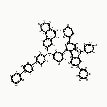 c1ccc(-c2ccc(-c3ccc(N(c4cccc(-c5cc(-c6ccccc6)cc6c5c5ccc(-c7ccccc7)cc5n6-c5ccccc5)c4)c4ccc5c(ccc6ccccc65)c4)cc3)cc2)cc1